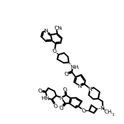 CN(CC1CCN(c2ccc(C(=O)N[C@H]3CC[C@H](Oc4ccc(C#N)c5ncccc45)CC3)cn2)CC1)[C@H]1C[C@H](Oc2ccc3c(c2)C(=O)N(C2CCC(=O)NC2=O)C3=O)C1